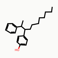 CCCCCCCCC(c1ccc(O)cc1)C(C)c1ccccc1